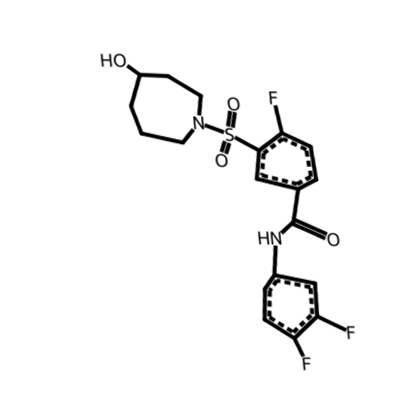 O=C(Nc1ccc(F)c(F)c1)c1ccc(F)c(S(=O)(=O)N2CCCC(O)CC2)c1